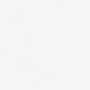 CC1CCC(C(=O)N(c2cc(-c3ccccc3)sc2OC(=O)O)C(C)C)C(C)C1